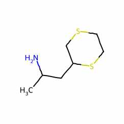 CC(N)CC1CSCCS1